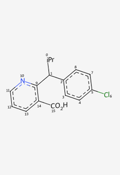 CC(C)C(c1ccc(Cl)cc1)c1ncccc1C(=O)O